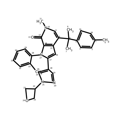 Cc1ccc(C(C)(C)c2cn(C)c(=O)c3c2cc(-c2cnn(C4COC4)c2)n3-c2ccccc2C)cc1